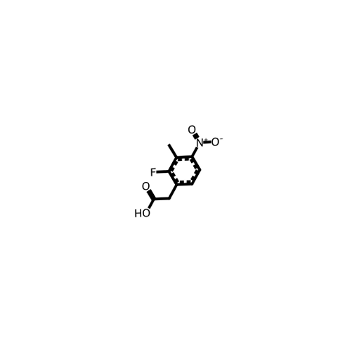 Cc1c([N+](=O)[O-])ccc(CC(=O)O)c1F